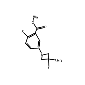 CC(C)(C)OC(=O)c1cc(N2CC(F)(C=O)C2)ccc1F